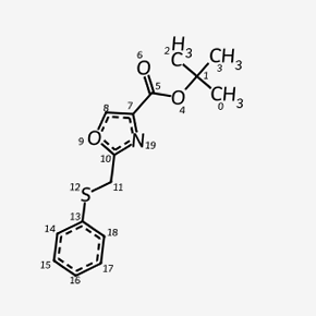 CC(C)(C)OC(=O)c1coc(CSc2ccccc2)n1